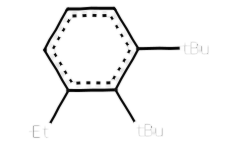 C[CH]c1cccc(C(C)(C)C)c1C(C)(C)C